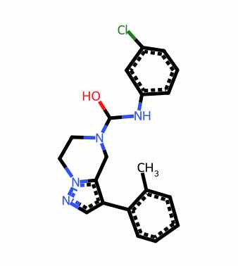 Cc1ccccc1-c1cnn2c1CN(C(O)Nc1cccc(Cl)c1)CC2